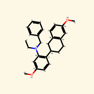 CCN(Cc1ccccc1)c1cc(OC)ccc1C1CCc2cc(OC)ccc2C1